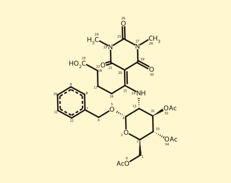 CC(=O)OC[C@H]1O[C@H](OCc2ccccc2)[C@H](NC(CCCC(=O)O)=C2C(=O)N(C)C(=O)N(C)C2=O)[C@@H](OC(C)=O)[C@@H]1OC(C)=O